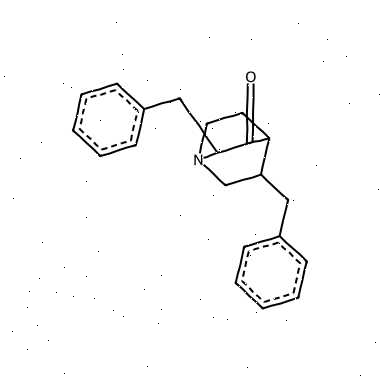 O=C1C2CCN(CC2Cc2ccccc2)C1Cc1ccccc1